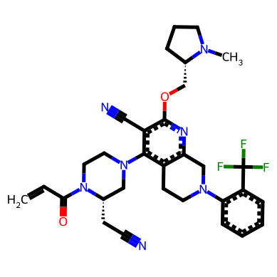 C=CC(=O)N1CCN(c2c(C#N)c(OC[C@@H]3CCCN3C)nc3c2CCN(c2ccccc2C(F)(F)F)C3)C[C@@H]1CC#N